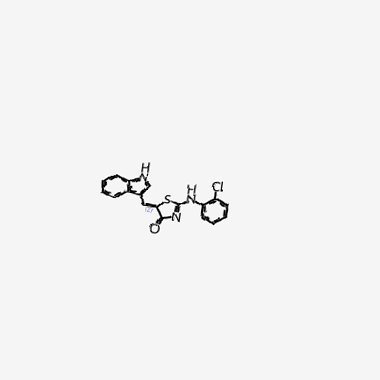 O=C1N=C(Nc2ccccc2Cl)S/C1=C\c1c[nH]c2ccccc12